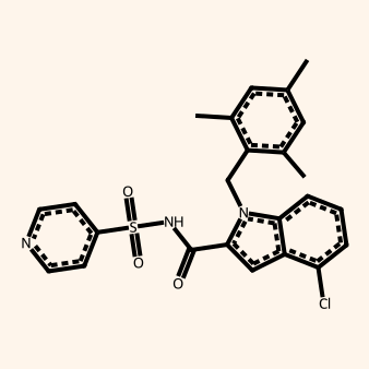 Cc1cc(C)c(Cn2c(C(=O)NS(=O)(=O)c3ccncc3)cc3c(Cl)cccc32)c(C)c1